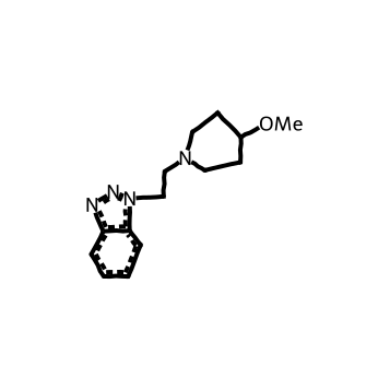 COC1CCN(CCn2nnc3ccccc32)CC1